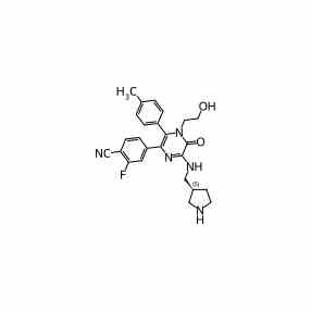 Cc1ccc(-c2c(-c3ccc(C#N)c(F)c3)nc(NC[C@H]3CCNC3)c(=O)n2CCO)cc1